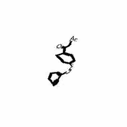 CC(=O)CC(=O)C1=CC[C@@H](Sc2ccccc2)C=C1